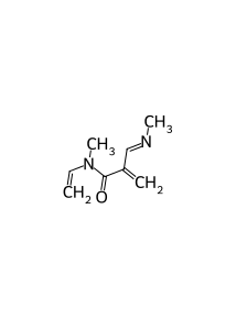 C=CN(C)C(=O)C(=C)C=NC